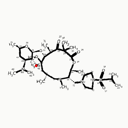 CO[C@]1(C)C[C@@H](C)CN(C)[C@@H](CN2CCN(S(=O)(=O)C(C)C)CC2)[C@H](C)OC(=O)C(C)(C)C(=O)[C@H](C)[C@H]1O[C@@H]1O[C@H](C)C[C@H](N(C)C)[C@H]1O